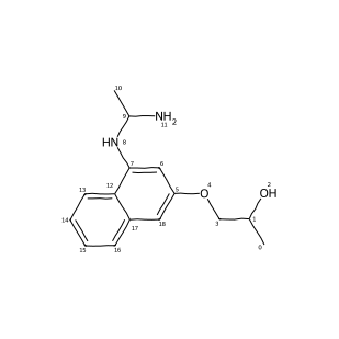 CC(O)COc1cc(NC(C)N)c2ccccc2c1